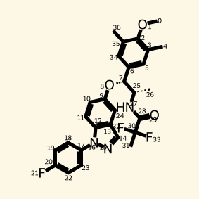 COc1c(C)cc([C@@H](Oc2ccc3c(cnn3-c3ccc(F)cc3)c2)[C@H](C)NC(=O)C(C)(F)F)cc1C